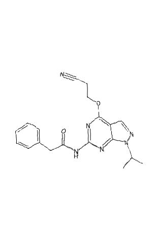 CC(C)n1ncc2c(OCCC#N)nc(NC(=O)Cc3ccccc3)nc21